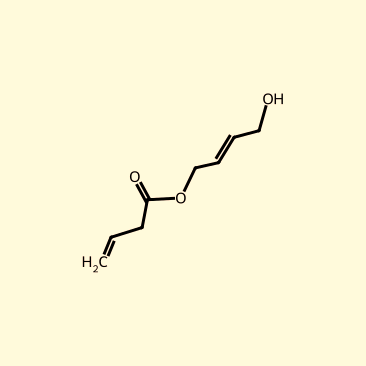 C=CCC(=O)OCC=CCO